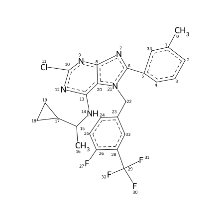 Cc1cccc(-c2nc3nc(Cl)nc(NC(C)C4CC4)c3n2Cc2ccc(F)c(C(F)(F)F)c2)c1